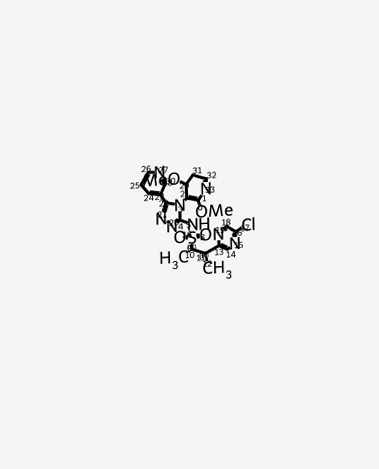 COC1=C(n2c(NS(=O)(=O)[C@@H](C)[C@H](C)c3cnc(Cl)cn3)nnc2-c2cccnc2)C(OC)CC=N1